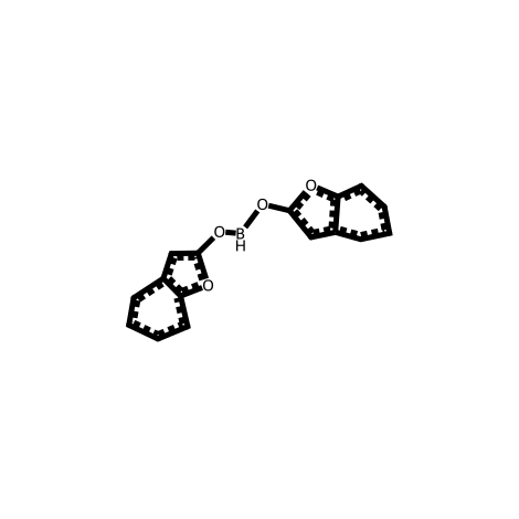 B(Oc1cc2ccccc2o1)Oc1cc2ccccc2o1